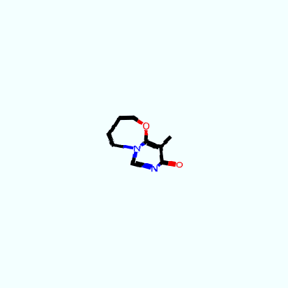 Cc1c2n(cnc1=O)CCCCO2